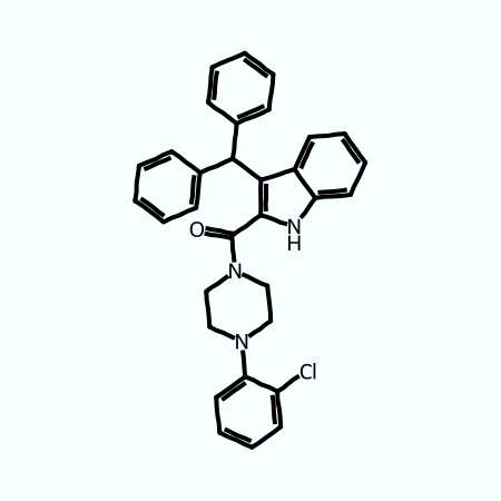 O=C(c1[nH]c2ccccc2c1C(c1ccccc1)c1ccccc1)N1CCN(c2ccccc2Cl)CC1